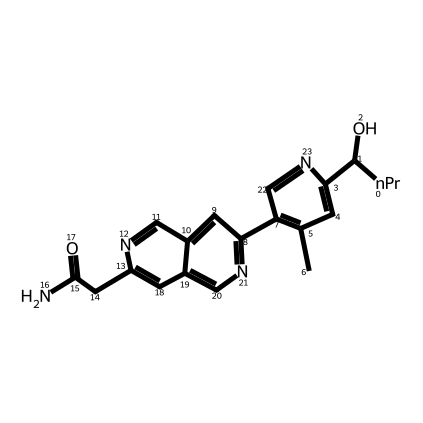 CCCC(O)c1cc(C)c(-c2cc3cnc(CC(N)=O)cc3cn2)cn1